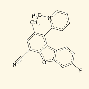 Cc1cc(C#N)c2oc3cc(F)ccc3c2c1-c1cccc[n+]1C